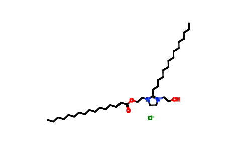 CCCCCCCCCCCCCCCC(=O)OCCN1CC[N+](CCO)=C1CCCCCCCCCCCCCCC.[Cl-]